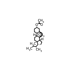 CC[C@@H](C)[C@H]1CC[C@H]2C3=CC=C4C[C@@H](OC(C)=O)CC[C@]4(C)[C@H]3CC[C@]12C